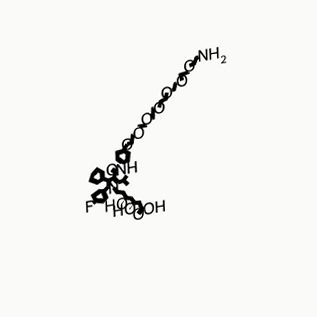 CC(C)c1c(C(=O)Nc2ccc(OCCOCCOCCOCCOCCOCCOCCN)cc2)c(-c2ccccc2)c(-c2ccc(F)cc2)n1CC[C@@H](O)C[C@@H](O)CC(=O)O